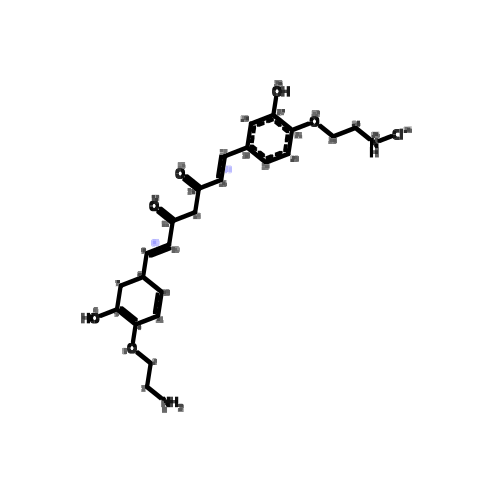 NCCOC1=C(O)CC(/C=C/C(=O)CC(=O)/C=C/c2ccc(OCCNCl)c(O)c2)C=C1